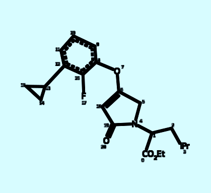 CCOC(=O)C(CC(C)C)N1CC(Oc2cccc(C3CC3)c2F)=CC1=O